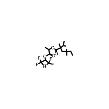 CCC(C)(C)CC(C)(C(=O)OC(C)C(=O)OC(C(F)(F)F)C(F)(F)F)C(C)C